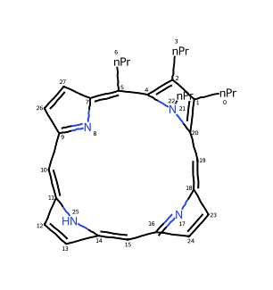 CCCc1c(CCC)c2c(CCC)c3nc(cc4ccc(cc5nc(cc1n2CCC)C=C5)[nH]4)C=C3